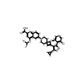 O=C(O)c1cc(OC(F)F)c2cc(N3CCC4(C=C(c5c(-c6c(Cl)cncc6Cl)noc5C5CC5)C4)CC3)ccc2n1